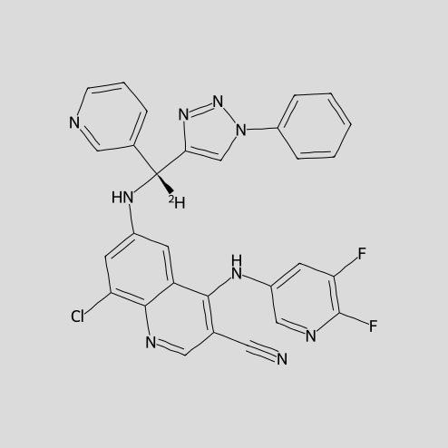 [2H][C@@](Nc1cc(Cl)c2ncc(C#N)c(Nc3cnc(F)c(F)c3)c2c1)(c1cccnc1)c1cn(-c2ccccc2)nn1